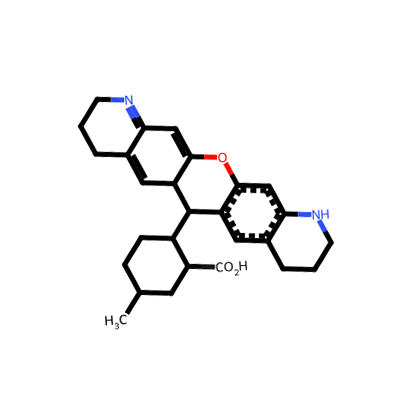 CC1CCC(C2c3cc4c(cc3OC3=CC5=NCCCC5=CC32)NCCC4)C(C(=O)O)C1